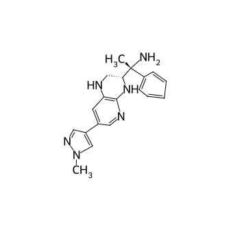 Cn1cc(-c2cnc3c(c2)NC[C@H]([C@](C)(N)c2ccccc2)N3)cn1